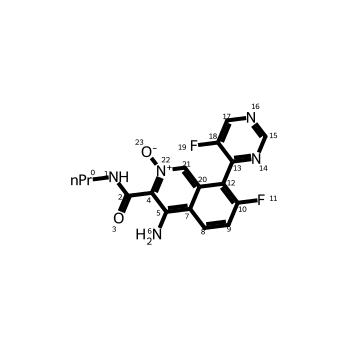 CCCNC(=O)c1c(N)c2ccc(F)c(-c3ncncc3F)c2c[n+]1[O-]